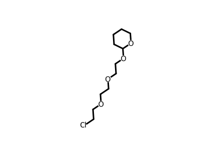 ClCCOCCOCCOC1CCCCO1